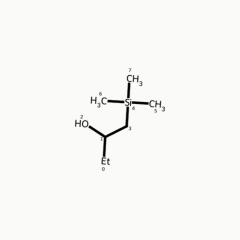 CCC(O)C[Si](C)(C)C